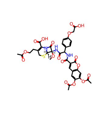 CO[C@@]1(NC(=O)C(NC(=O)c2cc3cc(OC(C)=O)c(OC(C)=O)cc3oc2=O)c2ccc(OCC(=O)O)cc2)C(=O)N2C(C(=O)O)=C(CCOC(C)=O)CS[C@H]21